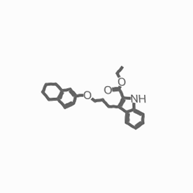 CCOC(=O)c1[nH]c2ccccc2c1CCCOc1ccc2c(c1)CCCC2